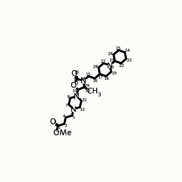 COC(=O)CCCN1CCN(C2OC(=O)N(CCC3CCN(C4CCCCC4)CC3)C2C)CC1